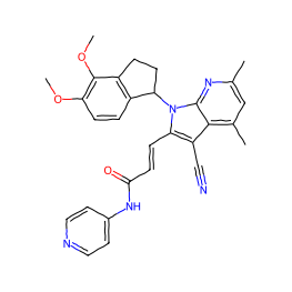 COc1ccc2c(c1OC)CCC2n1c(C=CC(=O)Nc2ccncc2)c(C#N)c2c(C)cc(C)nc21